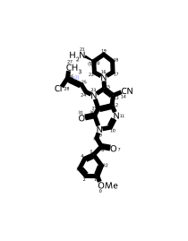 COc1cccc(C(=O)Cn2cnc3c(C#N)c(N4CCC[C@H](N)C4)n(C/C=C(/C)Cl)c3c2=O)c1